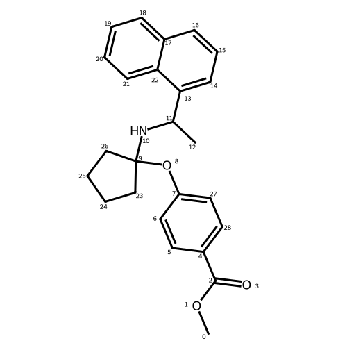 COC(=O)c1ccc(OC2(NC(C)c3cccc4ccccc34)CCCC2)cc1